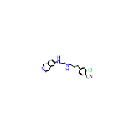 N#Cc1ccc(CCCNCCNc2ccc3cnccc3c2)cc1Cl